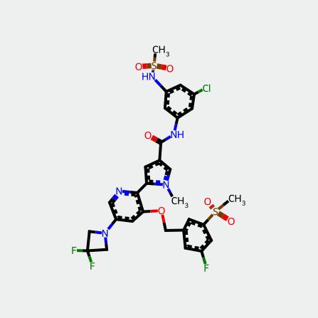 Cn1cc(C(=O)Nc2cc(Cl)cc(NS(C)(=O)=O)c2)cc1-c1ncc(N2CC(F)(F)C2)cc1OCc1cc(F)cc(S(C)(=O)=O)c1